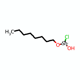 CCCCCCCC[O][Sn]([OH])[Cl]